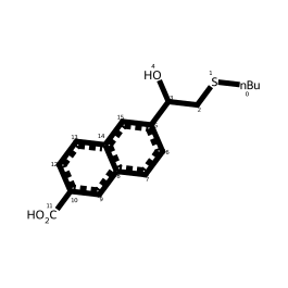 CCCCSCC(O)c1ccc2cc(C(=O)O)ccc2c1